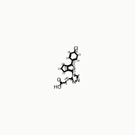 O=C(O)CSc1nncn1-c1sc(C2=CCC(Cl)C=C2)c2c1CCC2